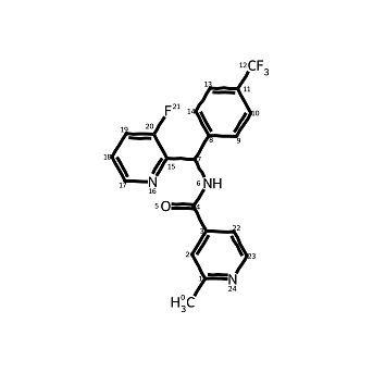 Cc1cc(C(=O)NC(c2ccc(C(F)(F)F)cc2)c2ncccc2F)ccn1